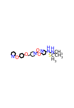 CC(C)(C)NC(=S)Nc1ccc(OC(=O)N2CCC(COc3ccc(Oc4ccccn4)cc3)CC2)nc1